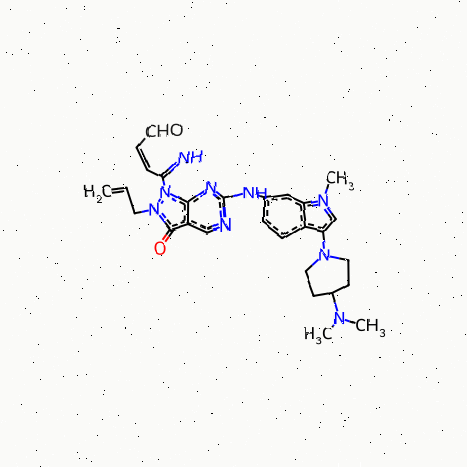 C=CCn1c(=O)c2cnc(Nc3ccc4c(N5CCC(N(C)C)CC5)cn(C)c4c3)nc2n1C(=N)/C=C\C=O